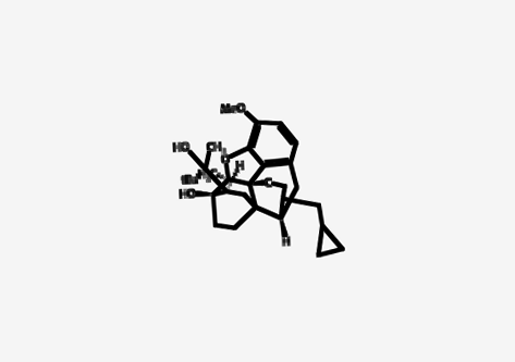 COc1ccc2c3c1O[C@]1(C)[C@@]4(O)CCC5(C[C@@H]4[C@](C)(O)C(C)(C)C)[C@@H](C2)C(CC2CC2)CC[C@@]351